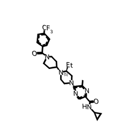 CC[C@H]1CN(c2ncc(C(=O)NC3CC3)nc2C)CCN1C1CCN(C(=O)c2ccc(C(F)(F)F)cc2)CC1